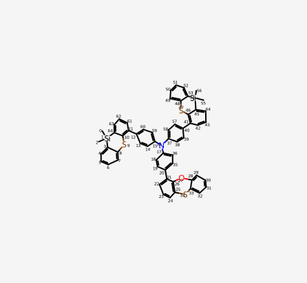 C[Si]1(C)c2ccccc2Sc2c(-c3ccc(N(c4ccc(-c5cccc6c5Oc5ccccc5S6)cc4)c4ccc(-c5cccc6c5Sc5ccccc5[Si]6(C)C)cc4)cc3)cccc21